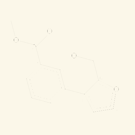 COC(=O)c1cccc2c1OCc1occc1-2